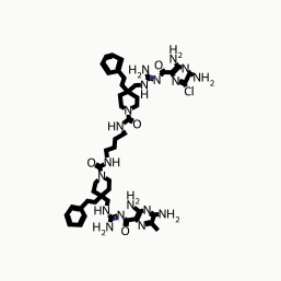 Cc1nc(C(=O)/N=C(\N)NCC2(CCc3ccccc3)CCN(C(=O)NCCCCNC(=O)N3CCC(CCc4ccccc4)(CN/C(N)=N/C(=O)c4nc(Cl)c(N)nc4N)CC3)CC2)c(N)nc1N